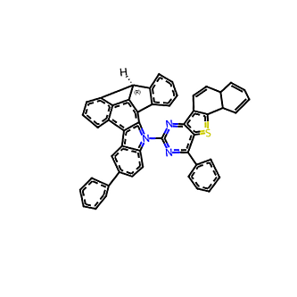 C1=CC2C=Cc3c(sc4c(-c5ccccc5)nc(-n5c6ccc(-c7ccccc7)cc6c6c7cccc8c7c7c(c65)-c5ccccc5[C@H]87)nc34)C2C=C1